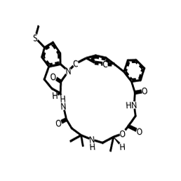 CSc1ccc2c(c1)CC[C@H]1NC(=O)CC(C)(C)NC[C@@H](C)OC(=O)CNC(=O)c3ccccc3-c3ccc(cc3)CN2C1=O